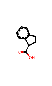 O=C(O)[C@@H]1CCc2ccccc21